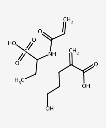 C=C(CCCO)C(=O)O.C=CC(=O)NC(CC)S(=O)(=O)O